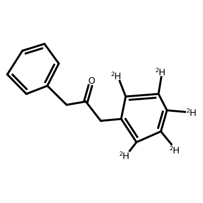 [2H]c1c([2H])c([2H])c(CC(=O)Cc2ccccc2)c([2H])c1[2H]